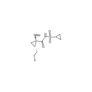 CN[C@]1(C(=O)NS(=O)(=O)C2CC2)C[C@H]1CCF